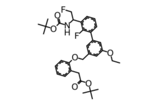 CCOc1cc(COc2ccccc2CC(=O)OC(C)(C)C)cc(-c2cccc(C(CF)NC(=O)OC(C)(C)C)c2F)c1